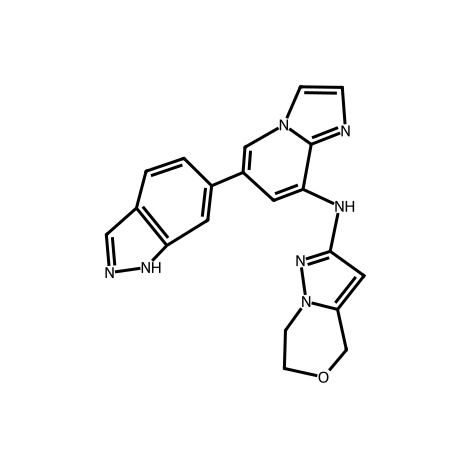 c1cn2cc(-c3ccc4cn[nH]c4c3)cc(Nc3cc4n(n3)CCOC4)c2n1